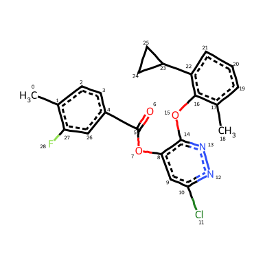 Cc1ccc(C(=O)Oc2cc(Cl)nnc2Oc2c(C)cccc2C2CC2)cc1F